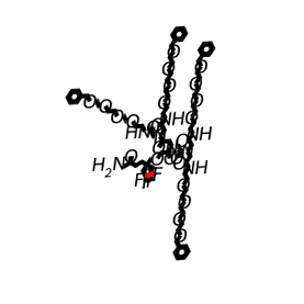 NCC(=O)CCC(COCC(=O)N(CC(=O)N(CC(=O)NCCOCCOCCOCCOCc1ccccc1)CC(=O)NCCOCCOCCOCCOCc1ccccc1)CC(=O)N(CC(=O)NCCOCCOCCOCCOCc1ccccc1)CC(=O)NCCOCCOCCOCCOCc1ccccc1)(CC(F)(F)F)CC(F)(F)F